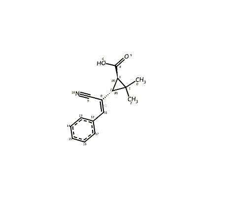 CC1(C)[C@H](C(=O)O)[C@H]1/C(C#N)=C/c1ccccc1